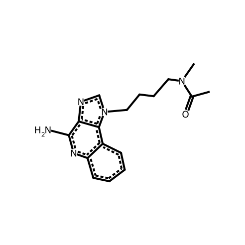 CC(=O)N(C)CCCCn1cnc2c(N)nc3ccccc3c21